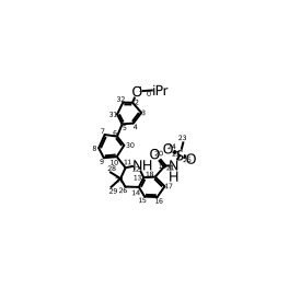 CC(C)Oc1ccc(-c2cccc(C3Nc4c(cccc4C(=O)NS(C)(=O)=O)CC3(C)C)c2)cc1